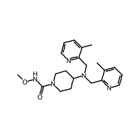 CONC(=O)N1CCC(N(Cc2ncccc2C)Cc2ncccc2C)CC1